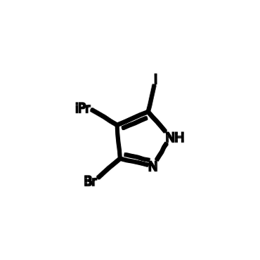 CC(C)c1c(Br)n[nH]c1I